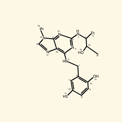 CCC(Nc1nc(NCc2cc(S)ccc2O)c2ncn(C(C)C)c2n1)C(C)O